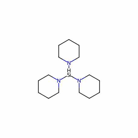 C1CCN([SiH](N2CCCCC2)N2CCCCC2)CC1